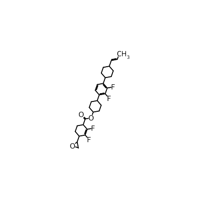 C/C=C/C1CCC(c2ccc(C3CCC(OC(=O)C4CCC(C5CO5)C(F)=C4F)CC3)c(F)c2F)CC1